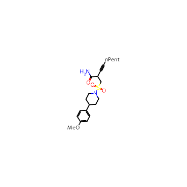 CCCCCC#CC(CS(=O)(=O)N1CCC(c2ccc(OC)cc2)CC1)C(N)=O